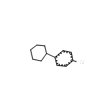 N#Cc1ccc(C2CC[C]CC2)cc1